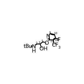 CC(C)(C)NCC(O)COc1nccc(F)c1C(F)(F)F